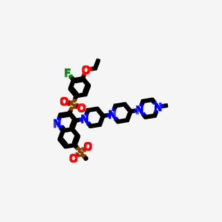 CCOc1ccc(S(=O)(=O)c2cnc3ccc(S(C)(=O)=O)cc3c2N2CCC(N3CCC(N4CCN(C)CC4)CC3)CC2)cc1F